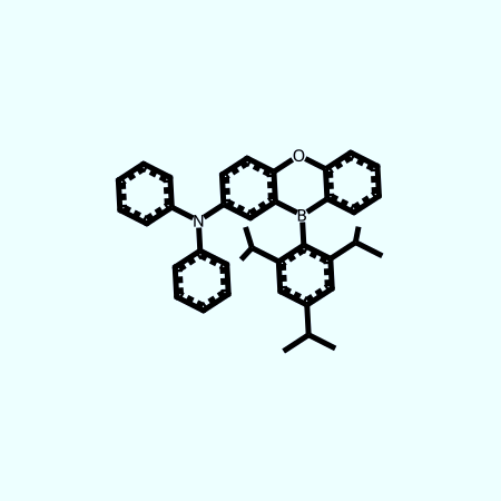 CC(C)c1cc(C(C)C)c(B2c3ccccc3Oc3ccc(N(c4ccccc4)c4ccccc4)cc32)c(C(C)C)c1